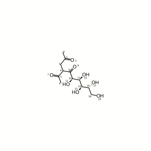 CC(=O)CC(C(C)=O)C(=O)[C@H](O)[C@@H](O)[C@H](O)[C@H](O)CO